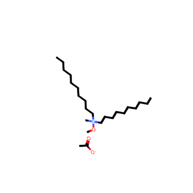 CC(=O)[O-].CCCCCCCCCC[N+](C)(CCCCCCCCCC)OC